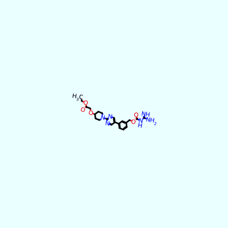 CCOC(=O)COC1CCN(c2ncc(-c3cccc(COC(=O)NC(=N)N)c3)cn2)CC1